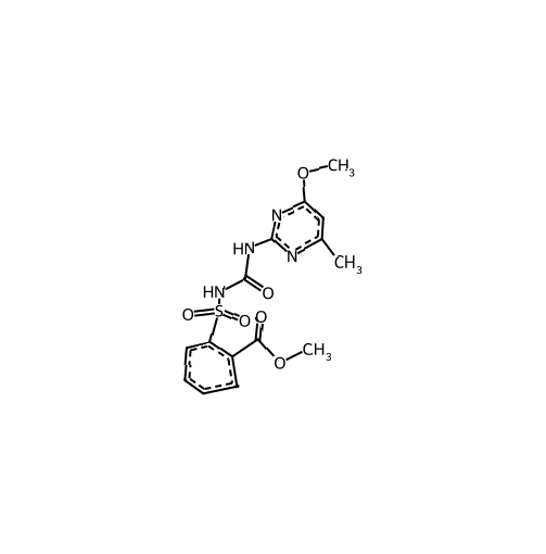 COC(=O)c1ccccc1S(=O)(=O)NC(=O)Nc1nc(C)cc(OC)n1